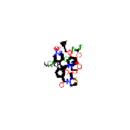 COc1ccc(C(=O)N2CCSC2C(=O)OC(Cc2c(Cl)c[n+]([O-])cc2Cl)c2ccc(OC(F)F)c(OCC3CC3)c2)cc1CN1CCOCC1